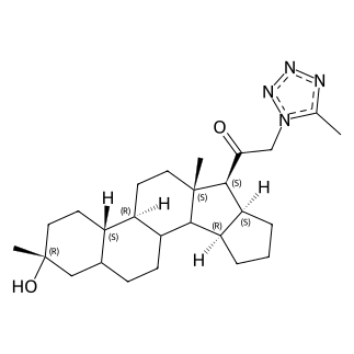 Cc1nnnn1CC(=O)[C@H]1[C@H]2CCC[C@H]2C2C3CCC4C[C@](C)(O)CC[C@@H]4[C@H]3CC[C@@]21C